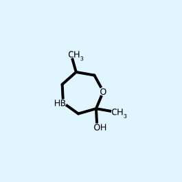 CC1CBCC(C)(O)OC1